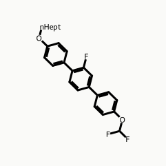 CCCCCCCOc1ccc(-c2ccc(-c3ccc(OC(F)F)cc3)cc2F)cc1